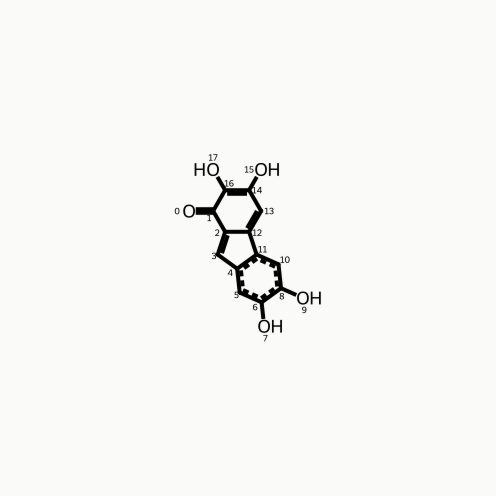 O=C1C2=Cc3cc(O)c(O)cc3C2=CC(O)=C1O